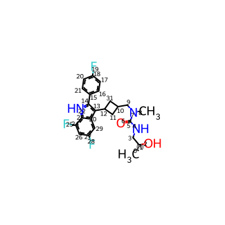 C[C@@H](O)CNC(=O)N(C)CC1CC(c2c(-c3ccc(F)cc3)[nH]c3c(F)cc(F)cc23)C1